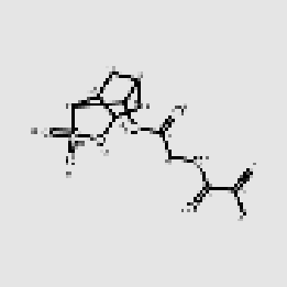 C=C(C)C(=O)OCC(=O)OC1C2CC3OS(=O)(=O)C1C3C2